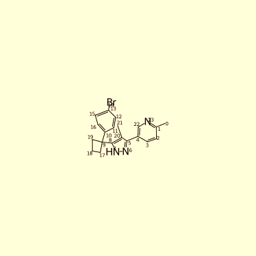 Cc1ccc(-c2n[nH]c(C3(c4ccc(Br)cc4)CCC3)c2C)cn1